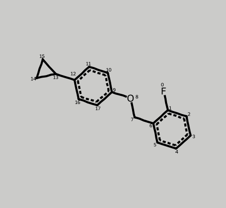 Fc1ccccc1COc1ccc(C2CC2)cc1